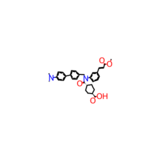 COC(=O)/C=C/c1cccc(N(Cc2ccc(-c3ccc(N(C)C)cc3)cc2)C(=O)[C@H]2CC[C@H](C(=O)O)CC2)c1